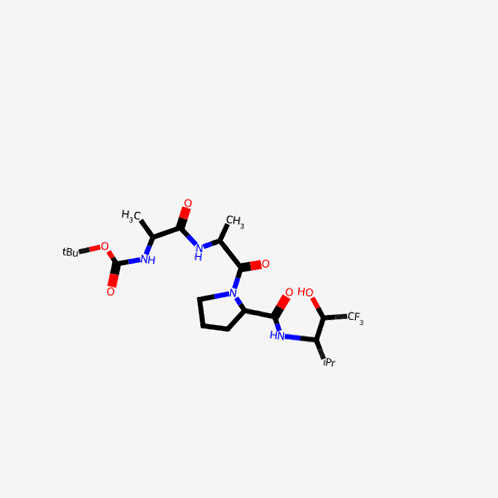 CC(NC(=O)OC(C)(C)C)C(=O)NC(C)C(=O)N1CCCC1C(=O)NC(C(C)C)C(O)C(F)(F)F